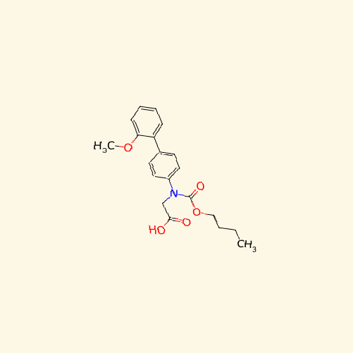 CCCCOC(=O)N(CC(=O)O)c1ccc(-c2ccccc2OC)cc1